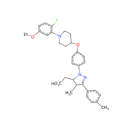 CCOc1ccc(F)c(N2CCC(Oc3ccc(N4N=C(c5ccc(C)cc5)C(C)C4CC(=O)O)cc3)CC2)c1